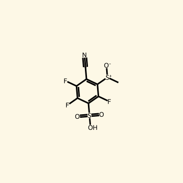 C[S+]([O-])c1c(F)c(S(=O)(=O)O)c(F)c(F)c1C#N